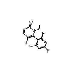 CCn1c(-c2c(F)cc(F)cc2F)c(C)ccc1=O